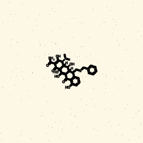 CN(C)[C@@H]1C(O)=C(C(N)=O)C(=O)[C@@]2(O)C(O)=C3C(=O)c4c(O)cccc4C(CSCc4ccccc4)[C@H]3[C@H](O)[C@@H]12